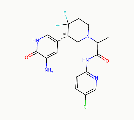 CC(C(=O)Nc1ccc(Cl)cn1)N1CCC(F)(F)[C@@H](c2c[nH]c(=O)c(N)c2)C1